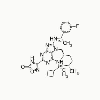 C[C@H](Nc1nc2nc(-c3noc(=O)[nH]3)nc(N[C@H](C)C3CCC3)c2n1C[C@H]1CC[C@H](C)CC1)c1cccc(F)c1